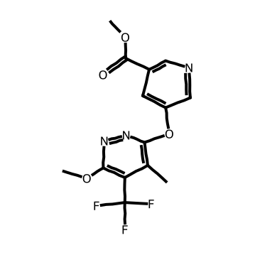 COC(=O)c1cncc(Oc2nnc(OC)c(C(F)(F)F)c2C)c1